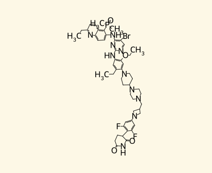 CCOc1cc(N2CCC(N3CCN(CC4CN(c5cc(F)c(C6CCC(=O)NC6=O)c(F)c5)C4)CC3)CC2)c(CC)cc1Nc1ncc(Br)c(Nc2ccc3nc(CC)ccc3c2P(C)(C)=O)n1